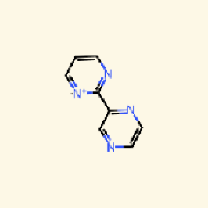 C1=CN=C(c2cnccn2)[N+]=C1